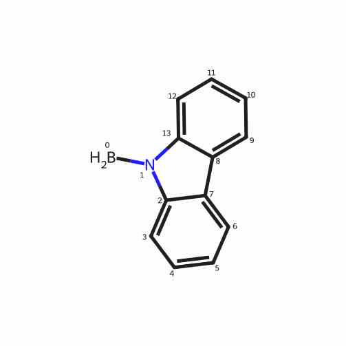 Bn1c2ccccc2c2ccccc21